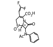 CC(=O)N(c1ccccc1)C1C(=O)N2C(C(=O)O)=C(C=C(F)F)C[S+]([O-])[C@@H]12